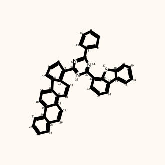 c1ccc(-c2nc(-c3cccc4c3ccc3c4ccc4c5ccccc5ccc43)nc(-c3cccc4c3sc3ccccc34)n2)cc1